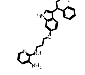 Nc1cccnc1NCCCOc1ccc2c(C(CC(=O)O)c3ccccc3)c[nH]c2c1